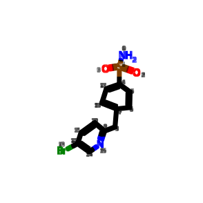 NS(=O)(=O)c1ccc(Cc2ccc(Br)cn2)cc1